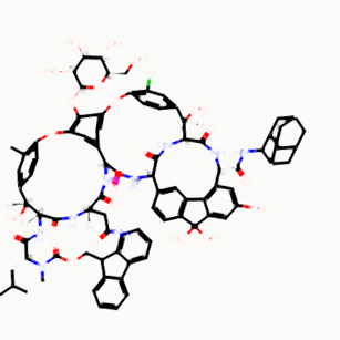 Cc1cc2ccc1Oc1cc3cc(c1O[C@@H]1O[C@H](CO)[C@@H](O)[C@H](O)[C@H]1O)Oc1ccc(cc1Cl)[C@@H](O)[C@@H]1NC(=O)[C@H](NC(=O)[C@@H]3NC(=O)[C@H](CC(N)=O)NC(=O)[C@H](NC(=O)[C@@H](CC(C)C)N(C)C(=O)OCC3c4ccccc4-c4ccccc43)[C@@H]2O)c2ccc3c(c2)-c2c(cc(O)cc2C3(O)O)[C@@H](C(=O)NC2C3CC4CC(C3)CC2C4)NC1=O